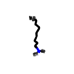 C=CCCCCCCCN(CC)CC